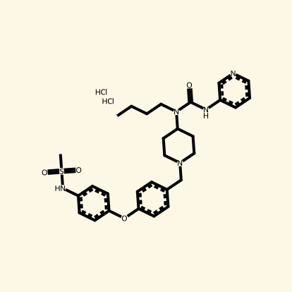 CCCCN(C(=O)Nc1cccnc1)C1CCN(Cc2ccc(Oc3ccc(NS(C)(=O)=O)cc3)cc2)CC1.Cl.Cl